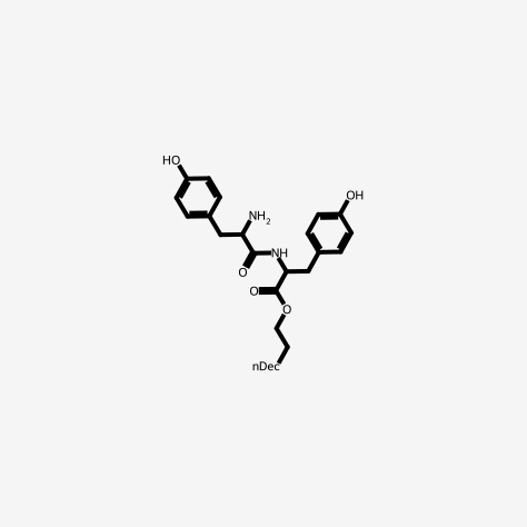 CCCCCCCCCCCCOC(=O)C(Cc1ccc(O)cc1)NC(=O)C(N)Cc1ccc(O)cc1